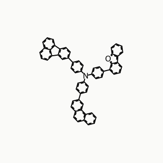 c1cc2c3c(cccc3c1)-c1cc(-c3ccc(N(c4ccc(-c5ccc6ccc7ccccc7c6c5)cc4)c4ccc(-c5cccc6c5oc5ccccc56)cc4)cc3)ccc1-2